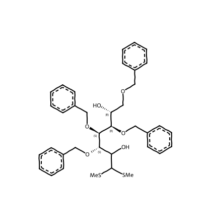 CSC(SC)C(O)[C@H](OCc1ccccc1)[C@@H](OCc1ccccc1)[C@H](OCc1ccccc1)[C@H](O)COCc1ccccc1